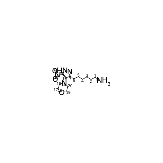 NCCCCCCc1n[nH]c([N+](=O)[O-])c1N1CCOCC1